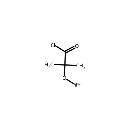 CC(C)OC(C)(C)C(=O)Cl